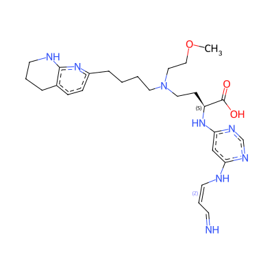 COCCN(CCCCc1ccc2c(n1)NCCC2)CC[C@H](Nc1cc(N/C=C\C=N)ncn1)C(=O)O